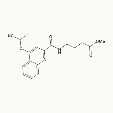 COC(=O)CCCNC(=O)c1cc(OC(C)C#N)c2ccccc2n1